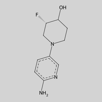 Nc1ccc(N2CCC(O)[C@@H](F)C2)cn1